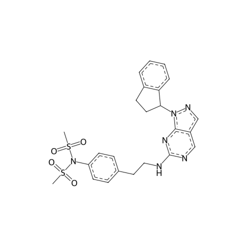 CS(=O)(=O)N(c1ccc(CCNc2ncc3cnn(C4CCc5ccccc54)c3n2)cc1)S(C)(=O)=O